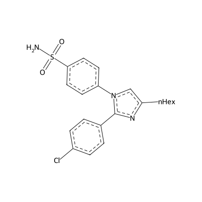 CCCCCCc1cn(-c2ccc(S(N)(=O)=O)cc2)c(-c2ccc(Cl)cc2)n1